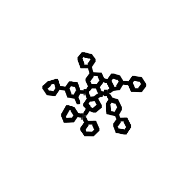 Cc1cc(-c2ccccc2)ccc1N1c2cc(N(c3ccccc3)c3ccccc3)ccc2B2c3c(cc(-c4ccccc4)cc31)-c1ccc(-c3ccccc3)cc1N2c1ccc(-c2ccccc2)cc1